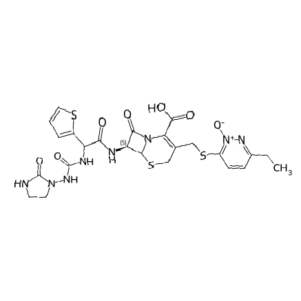 CCc1ccc(SCC2=C(C(=O)O)N3C(=O)[C@H](NC(=O)C(NC(=O)NN4CCNC4=O)c4cccs4)C3SC2)[n+]([O-])n1